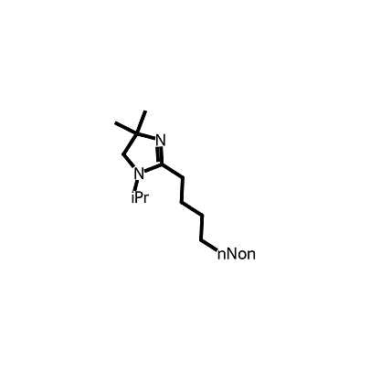 CCCCCCCCCCCCCC1=NC(C)(C)CN1C(C)C